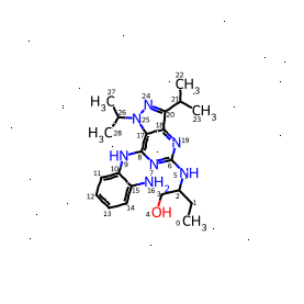 CCC(CO)Nc1nc(Nc2ccccc2N)c2c(n1)c(C(C)C)nn2C(C)C